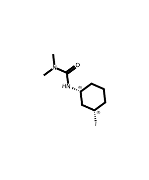 CN(C)C(=O)N[C@@H]1CCC[C@H](I)C1